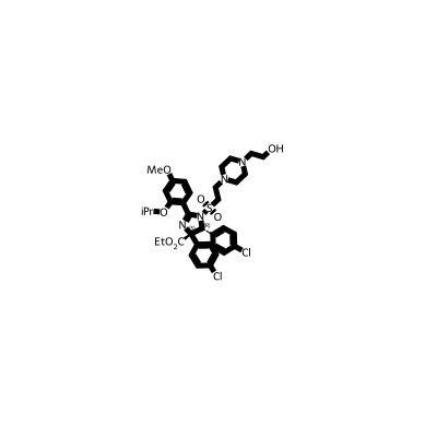 CCOC(=O)[C@@]1(c2ccc(Cl)cc2)N=C(c2ccc(OC)cc2OC(C)C)N(S(=O)(=O)CCN2CCN(CCO)CC2)[C@@H]1c1ccc(Cl)cc1